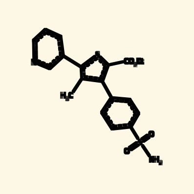 CCOC(=O)c1sc(-c2cccnc2)c(C)c1-c1ccc(S(N)(=O)=O)cc1